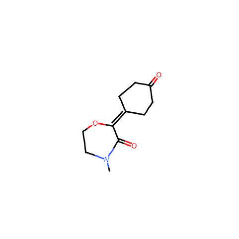 CN1CCOC(=C2CCC(=O)CC2)C1=O